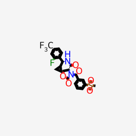 CS(=O)(=O)c1cccc(C(=O)N2C(=O)OC[C@@H]2C(=O)N[C@@H](c2ccc(C(F)(F)F)cc2F)C2CC2)c1